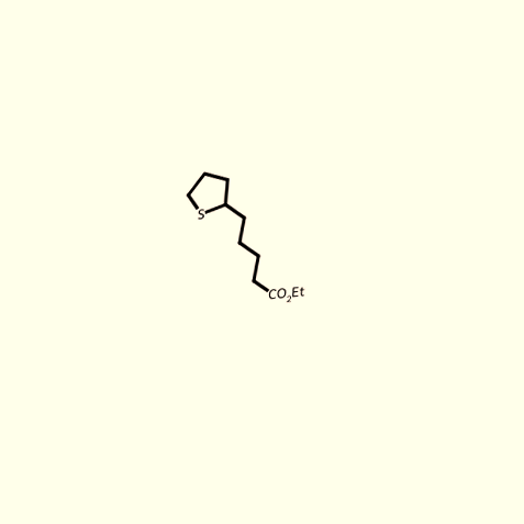 CCOC(=O)CCCCC1CCCS1